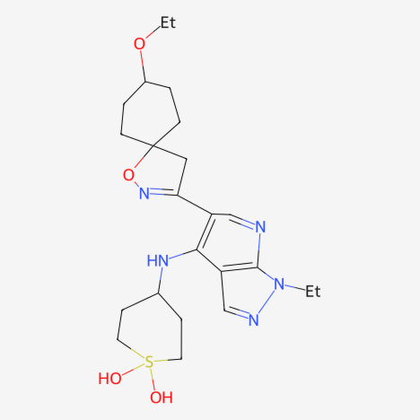 CCOC1CCC2(CC1)CC(c1cnc3c(cnn3CC)c1NC1CCS(O)(O)CC1)=NO2